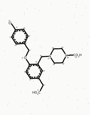 O=C(O)Cc1ccc(OCc2ccc(Cl)cc2)c(CN2CCN(C(=O)O)CC2)c1